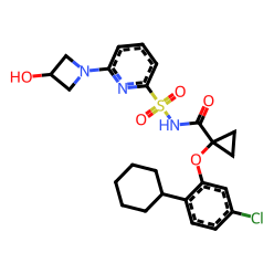 O=C(NS(=O)(=O)c1cccc(N2CC(O)C2)n1)C1(Oc2cc(Cl)ccc2C2CCCCC2)CC1